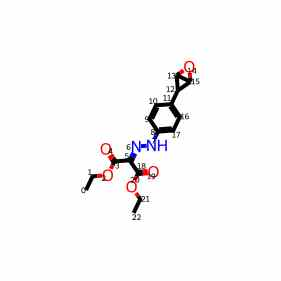 CCOC(=O)C(=NNc1ccc(C2C3OC32)cc1)C(=O)OCC